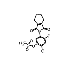 CS(=O)(=O)Oc1cc(N2C(=O)C3=C(CCCC3)C2=O)c(F)cc1Cl